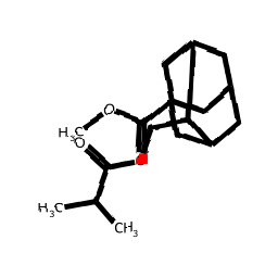 COC(=O)C12CC3CC(C1)C(COC(=O)C(C)C)C(C3)C2